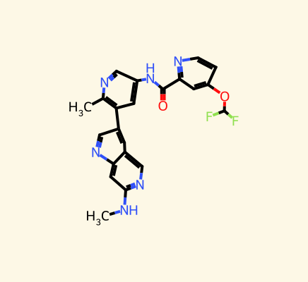 CNc1cc2ncc(-c3cc(NC(=O)c4cc(OC(F)F)ccn4)cnc3C)cc2cn1